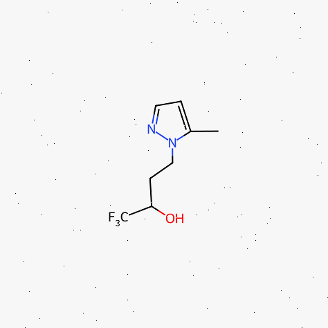 Cc1ccnn1CCC(O)C(F)(F)F